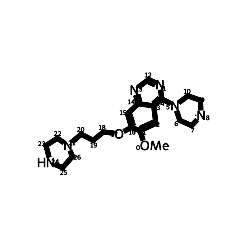 COc1cc2c(N3CC[N]CC3)ncnc2cc1OCCCN1CCNCC1